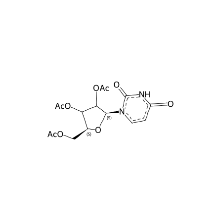 CC(=O)OC[C@@H]1O[C@H](n2ccc(=O)[nH]c2=O)C(OC(C)=O)C1OC(C)=O